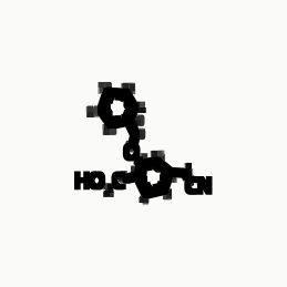 N#CCc1ccc(C(=O)O)c(OCc2ccccc2)c1